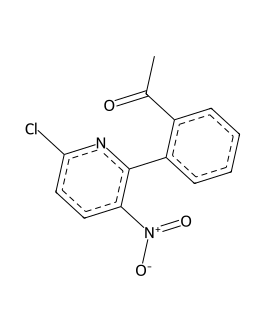 CC(=O)c1ccccc1-c1nc(Cl)ccc1[N+](=O)[O-]